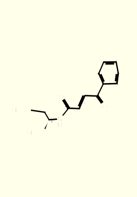 O=C(O)C[C@@H](NC(=O)/C=C/C(=O)c1ccccc1)C(=O)O